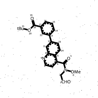 CON(CC=O)C(=O)c1ccnc2cc(-c3cccc(C(=O)OC(C)(C)C)c3)ccc12